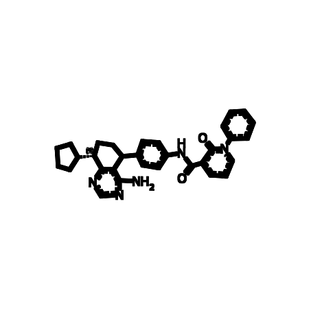 Nc1ncnc2c1C(c1ccc(NC(=O)c3cccn(-c4ccccc4)c3=O)cc1)CC[C@H]2C1CCCC1